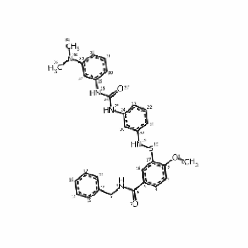 COc1ccc(C(=O)NCc2ccccc2)cc1SNc1cccc(NC(=O)Nc2cccc(N(C)C)c2)c1